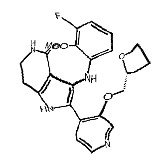 COc1c(F)cccc1Nc1c(-c2ccncc2OC[C@H]2CCO2)[nH]c2c1C(=O)NCC2